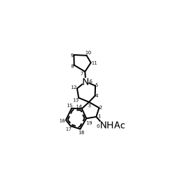 CC(=O)NC1CC2(CCN(C3CCCC3)CC2)c2ccccc21